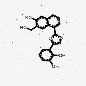 OCc1cc2c(-c3ncc(-c4cccc(O)c4O)o3)cccc2cc1O